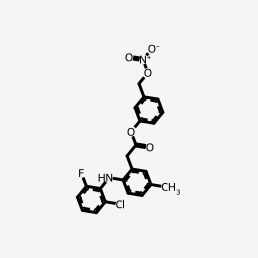 Cc1ccc(Nc2c(F)cccc2Cl)c(CC(=O)Oc2cccc(CO[N+](=O)[O-])c2)c1